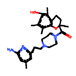 Cc1cc(N)nc(CCN2CCN(C(=O)C3(C)CCc4c(C)c(O)c(C)c(C)c4O3)CC2)c1